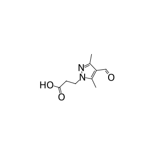 Cc1nn(CCC(=O)O)c(C)c1C=O